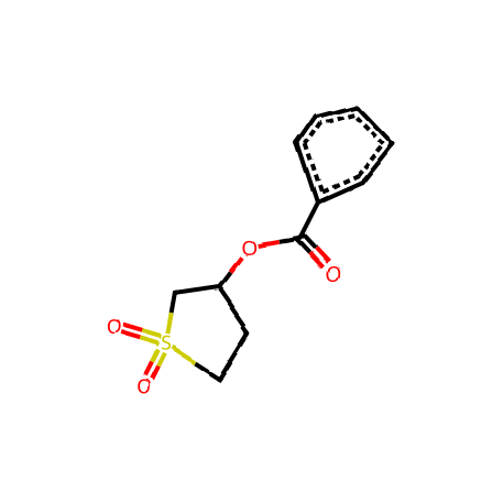 O=C(OC1CCS(=O)(=O)C1)c1ccccc1